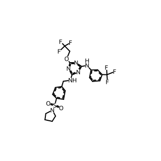 O=S(=O)(c1ccc(CNc2nc(Nc3cccc(C(F)(F)F)c3)nc(OCC(F)(F)F)n2)cc1)N1CCCC1